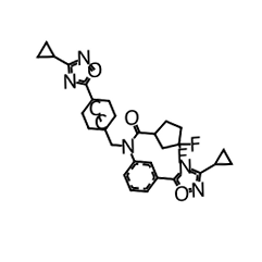 O=C(C1CCC(F)(F)C1)N(CC12CCC(c3nc(C4CC4)no3)(CC1)CC2)c1cccc(-c2nc(C3CC3)no2)c1